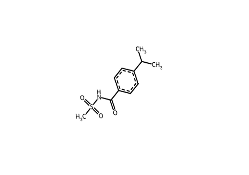 CC(C)c1ccc(C(=O)NS(C)(=O)=O)cc1